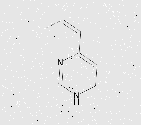 C/C=C\C1=CCNC=N1